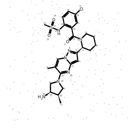 Cc1cn2nc([C@@H]3CCCCN3C(=O)c3cc(Cl)ccc3NS(C)(=O)=O)cc2nc1N1C[C@@H](C)[C@@H](N)C1